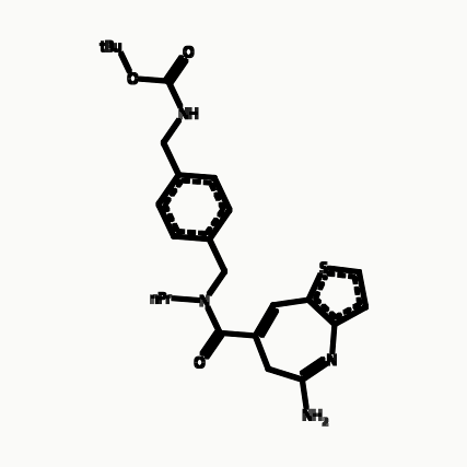 CCCN(Cc1ccc(CNC(=O)OC(C)(C)C)cc1)C(=O)C1=Cc2sccc2N=C(N)C1